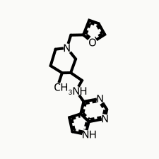 CC1CCN(Cc2ccco2)CC1CNc1ncnc2[nH]ccc12